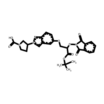 CC(C)(C)OC(=O)C(COc1ccc2nn(C3CCN(C(=O)O)C3)cc2c1)ON1C(=O)c2ccccc2C1=O